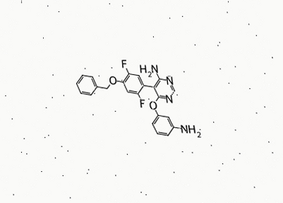 Nc1cccc(Oc2ncnc(N)c2-c2cc(F)c(OCc3ccccc3)cc2F)c1